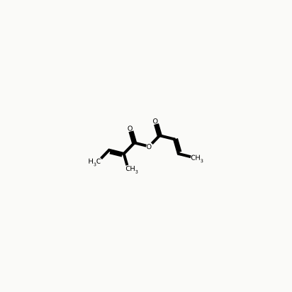 C/C=C/C(=O)OC(=O)/C(C)=C/C